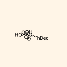 CCCCCCCCCCCCCCOC1=C(O)C(C(O)CO)OC1=O